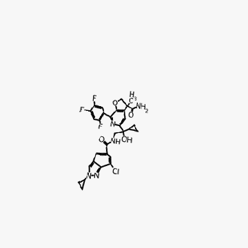 C[C@]1(C(N)=O)COc2c1cc(C(O)(CNC(=O)c1cc(Cl)c3nn(C4CC4)cc3c1)C1CC1)nc2-c1cc(F)c(F)cc1F